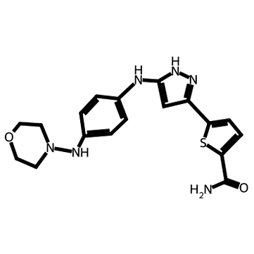 NC(=O)c1ccc(-c2cc(Nc3ccc(NN4CCOCC4)cc3)[nH]n2)s1